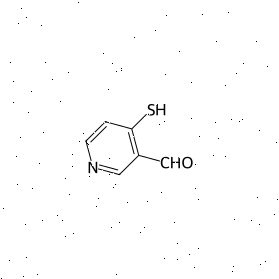 O=Cc1cnccc1S